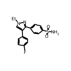 CCn1cc(-c2ccc(F)cc2)c(-c2ccc(S(N)(=O)=O)cc2)n1